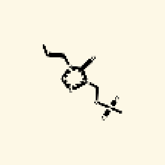 C/C=C/n1nnn(COS(C)(=O)=O)c1=O